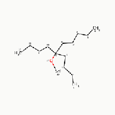 CCCCCC(CCCC)(CCCC)[O][Sn]